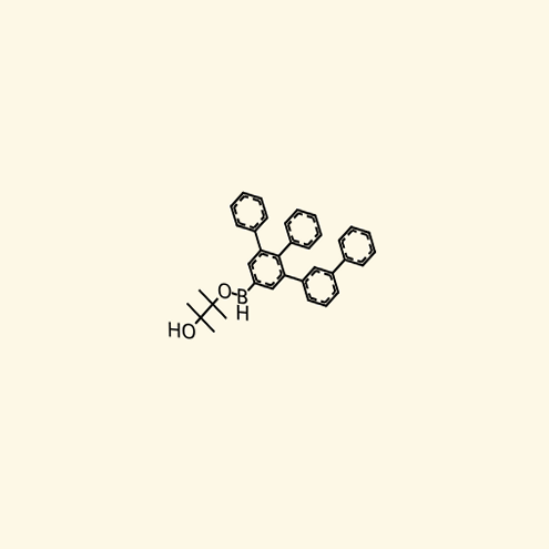 CC(C)(O)C(C)(C)OBc1cc(-c2ccccc2)c(-c2ccccc2)c(-c2cccc(-c3ccccc3)c2)c1